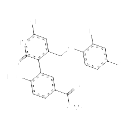 COC(=O)c1ccc(C)c(-c2c(COc3ccc(F)cc3F)cc(C)[nH]c2=O)c1